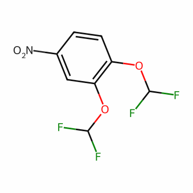 O=[N+]([O-])c1ccc(OC(F)F)c(OC(F)F)c1